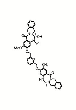 COc1cc2c(cc1OCc1cccc(COc3cc4c(cc3C)C(=O)N3Cc5ccccc5C[C@H]3CN4)n1)N(C(C)C)C(O)[C@@H]1Cc3ccccc3CN1C2=O